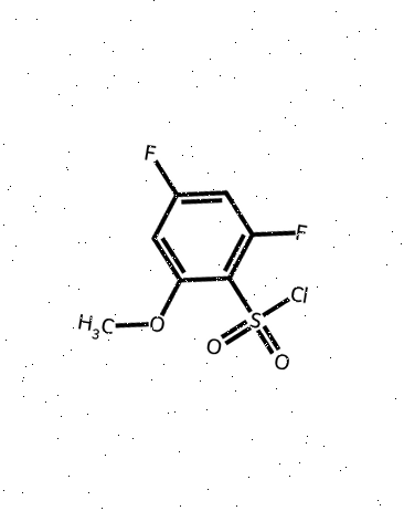 COc1cc(F)cc(F)c1S(=O)(=O)Cl